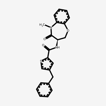 CN1C(=O)[C@H](NC(=O)c2cc(Cc3ccccc3)cs2)COc2ccccc21